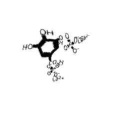 O=C(O)c1cc(O)c(O)c(O)c1.O=P([O-])([O-])[O-].O=P([O-])([O-])[O-].[Ca+2].[Ca+2].[Ca+2]